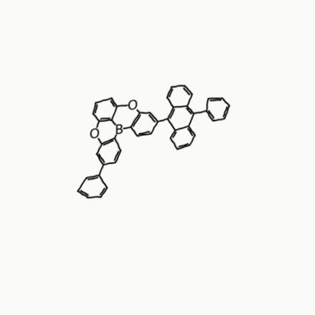 c1ccc(-c2ccc3c(c2)Oc2cccc4c2B3c2ccc(-c3c5ccccc5c(-c5ccccc5)c5ccccc35)cc2O4)cc1